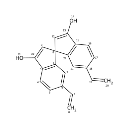 C=Cc1ccc2c(c1)C1(C=C2O)C=C(O)c2ccc(C=C)cc21